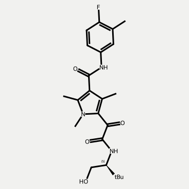 Cc1cc(NC(=O)c2c(C)c(C(=O)C(=O)N[C@H](CO)C(C)(C)C)n(C)c2C)ccc1F